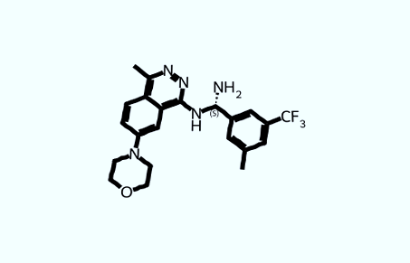 Cc1cc([C@@H](N)Nc2nnc(C)c3ccc(N4CCOCC4)cc23)cc(C(F)(F)F)c1